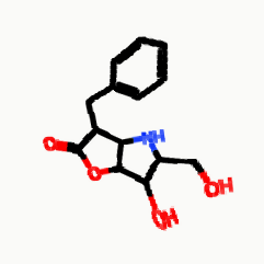 O=C1OC2C(O)C(CO)NC2C1Cc1ccccc1